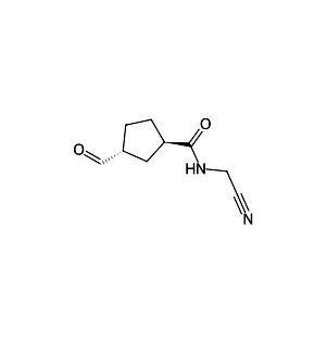 N#CCNC(=O)[C@@H]1CC[C@@H](C=O)C1